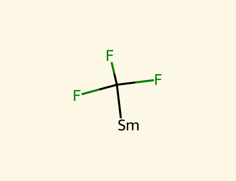 F[C](F)(F)[Sm]